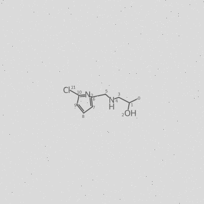 CC(O)CNCc1cccc(Cl)n1